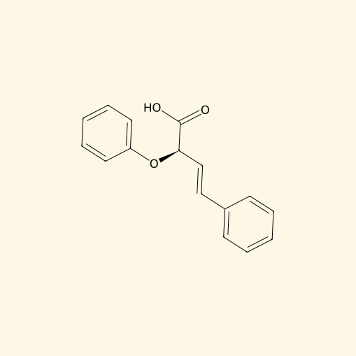 O=C(O)[C@@H](C=Cc1ccccc1)Oc1ccccc1